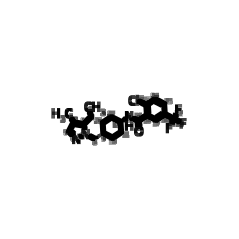 CCc1c(C)cnn1C[C@H]1CC[C@H](NC(=O)c2cc(C(F)(F)F)ccc2Cl)CC1